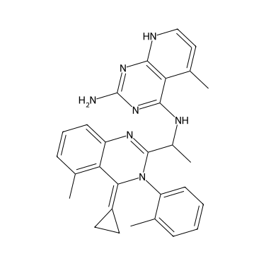 CC1=C=CNc2nc(N)nc(NC(C)C3=Nc4cccc(C)c4C(=C4CC4)N3c3ccccc3C)c21